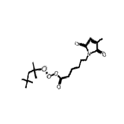 CC1=CC(=O)N(CCCCCC(=O)OOOC(C)(C)CC(C)(C)C)C1=O